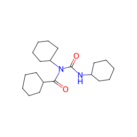 O=C(NC1CCCCC1)N(C(=O)C1CCCCC1)C1CCCCC1